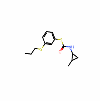 CCCSc1cccc(SC(=O)NC2CC2C)c1